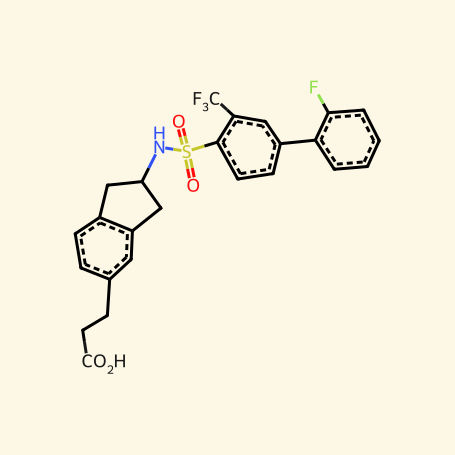 O=C(O)CCc1ccc2c(c1)CC(NS(=O)(=O)c1ccc(-c3ccccc3F)cc1C(F)(F)F)C2